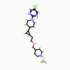 CSN1CCC(COCCC2CC2C2CCN(c3ncc(Cl)cn3)CC2)CC1